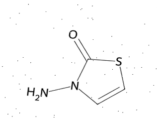 Nn1ccsc1=O